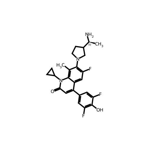 Cc1c(N2CCC([C@H](C)N)C2)c(F)cc2c(-c3cc(F)c(O)c(F)c3)cc(=O)n(C3CC3)c12